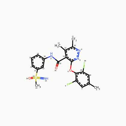 Cc1cc(F)c(Oc2nnc(C(F)(F)F)c(C)c2C(=O)Nc2cccc(S(C)(=N)=O)c2)c(F)c1